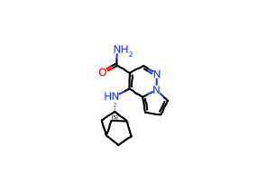 NC(=O)c1cnn2cccc2c1N[C@H]1CC2CCC1C2